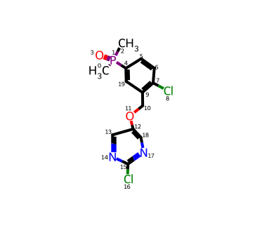 CP(C)(=O)c1ccc(Cl)c(COc2cnc(Cl)nc2)c1